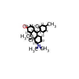 Cc1ccc(C2=C3C=CC(=O)C=C3[Si](C)(C)c3cc(N(C)C)ccc32)c(C)c1